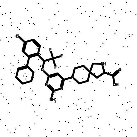 Nc1nc(OC(c2ccc(Cl)cc2C2=CCCCC2)C(F)(F)F)cc(N2CCC3(CC2)CNC(C(=O)O)C3)n1